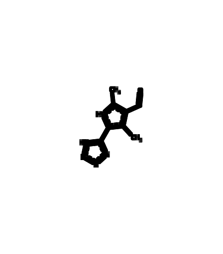 Cc1[nH]c(-c2nnn[nH]2)c(C)c1C=O